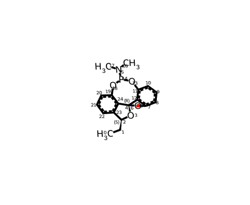 CC[C@@H]1O[C@]23OCc4cccc(c42)OP(N(C)C)Oc2cccc1c23